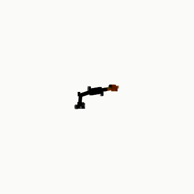 [CH2]CCC#CBr